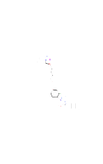 Cc1cc(CCCCCOc2ccc(C3=NC(C)CO3)c(Cl)c2)on1